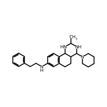 CC1NC2c3ccc(NCCc4ccccc4)cc3CCC2C(N2CCCCC2)N1